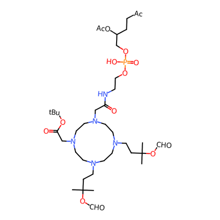 CC(=O)CCC(COP(=O)(O)OCCNC(=O)CN1CCN(CCC(C)(C)OC=O)CCN(CCC(C)(C)OC=O)CCN(CC(=O)OC(C)(C)C)CC1)OC(C)=O